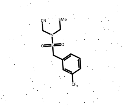 CSCN(CC#N)S(=O)(=O)Cc1cccc(C(F)(F)F)c1